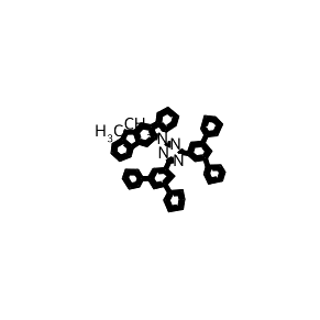 CC1(C)c2ccccc2-c2cc3c(cc21)c1ccccc1n3-c1nc(-c2cc(-c3ccccc3)cc(-c3ccccc3)c2)nc(-c2cc(-c3ccccc3)cc(-c3ccccc3)c2)n1